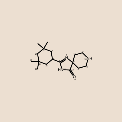 CC1(C)CC(C2=NC3(CCNCC3)C(=O)N2)CC(C)(C)C1